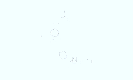 CC(C)(C)ON=C(c1ccc(CCOc2c(Cl)cc(OCC=C(Cl)Cl)cc2Cl)cc1)C(F)(F)F